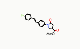 COC(=O)C1CC(=O)N(c2ccc(/C=C/c3ccc(F)cc3)cc2)C1